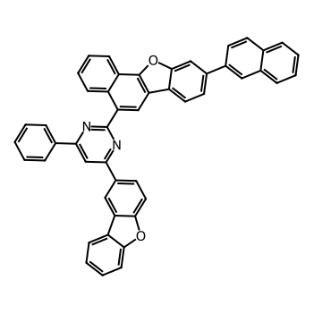 c1ccc(-c2cc(-c3ccc4oc5ccccc5c4c3)nc(-c3cc4c5ccc(-c6ccc7ccccc7c6)cc5oc4c4ccccc34)n2)cc1